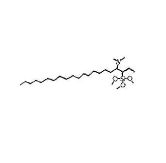 CCCCCCCCCCCCCCCCCC(C(CC)[Si](OC)(OC)OC)N(C)C